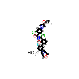 O=C(O)c1cc(F)c(-c2cccc3c2OCN(C(=O)c2c(Cl)cc(N4CC(OC(F)(F)F)C4)cc2Cl)C3)cc1N1C2CCC1COC2